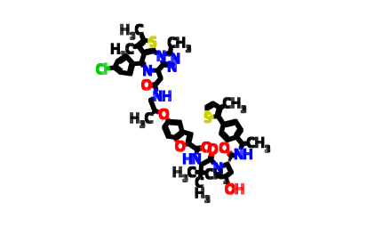 Cc1ccsc1-c1ccc(C(C)NC(=O)[C@@H]2C[C@@H](O)CN2C(=O)[C@@H](NC(=O)c2cc3cc(O[C@H](C)CNC(=O)CC4N=C(c5ccc(Cl)cc5)c5c(sc(C)c5C)-n5c(C)nnc54)ccc3o2)C(C)(C)C)cc1